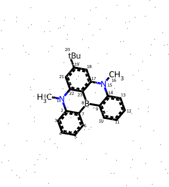 CN1c2ccccc2B2c3ccccc3N(C)c3cc(C(C)(C)C)cc1c32